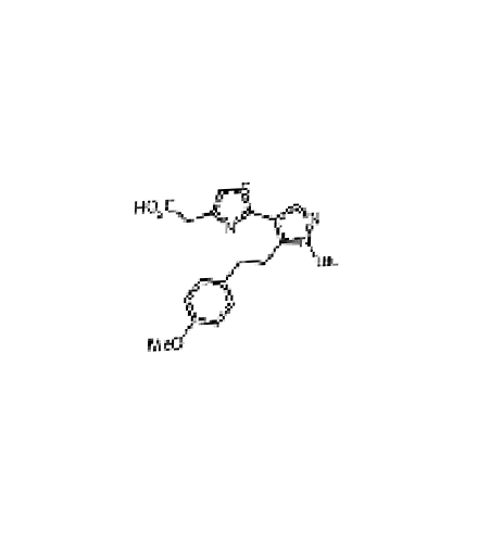 COc1ccc(CCc2c(-c3nc(CC(=O)O)cs3)cnn2C(C)(C)C)cc1